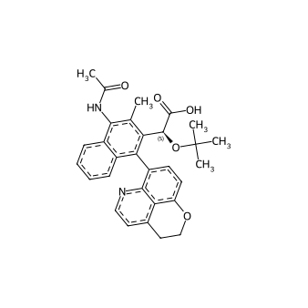 CC(=O)Nc1c(C)c([C@H](OC(C)(C)C)C(=O)O)c(-c2ccc3c4c(ccnc24)CCO3)c2ccccc12